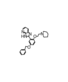 c1ccc(COc2ccc(OCCN3CCCCC3)c(-c3nc4cccnc4[nH]3)c2)cc1